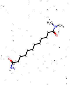 CN(C)C(=O)CCCCCCCCCCC(N)=O